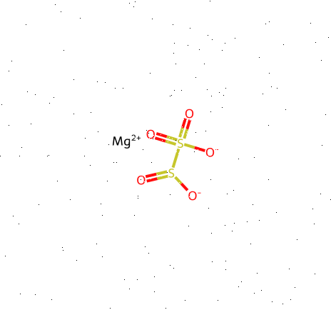 O=S([O-])S(=O)(=O)[O-].[Mg+2]